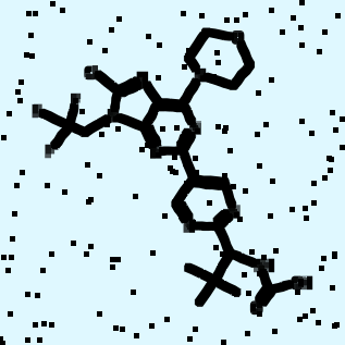 CC(C)(C)C(NC(=O)O)c1ncc(-c2nc(N3CCOCC3)c3nc(Cl)n(CC(F)(F)F)c3n2)cn1